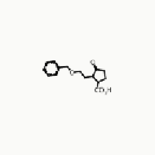 O=C(O)C1CCC(=O)C1CCOCc1ccccc1